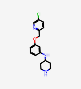 Clc1ccc(COc2cccc(NC3CCNCC3)c2)nc1